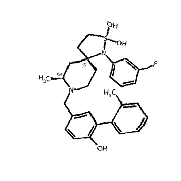 Cc1ccccc1-c1cc(CN2CC[C@]3(CCS(O)(O)N3c3cccc(F)c3)C[C@@H]2C)ccc1O